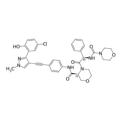 Cn1cc(C#Cc2ccc(NC(=O)[C@@H]3COCCN3C(=O)[C@H](NC(=O)N3CCOCC3)c3ccccc3)cc2)c(-c2cc(Cl)ccc2O)n1